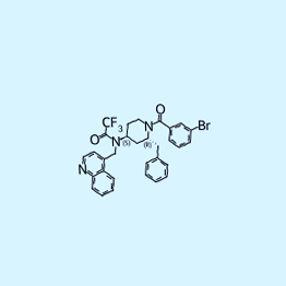 O=C(c1cccc(Br)c1)N1CC[C@H](N(Cc2ccnc3ccccc23)C(=O)C(F)(F)F)C[C@H]1Cc1ccccc1